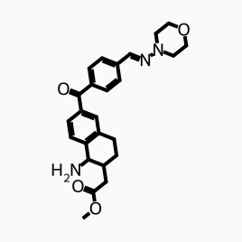 COC(=O)CC1CCc2cc(C(=O)c3ccc(C=NN4CCOCC4)cc3)ccc2C1N